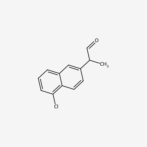 CC(C=O)c1ccc2c(Cl)cccc2c1